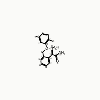 Cc1ccc(C)c(OCc2ccccc2C(=NO)C(N)=O)c1